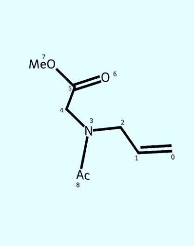 C=CCN(CC(=O)OC)C(C)=O